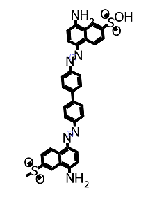 CS(=O)(=O)c1ccc2c(/N=N/c3ccc(-c4ccc(/N=N/c5ccc(N)c6cc(S(=O)(=O)O)ccc56)cc4)cc3)ccc(N)c2c1